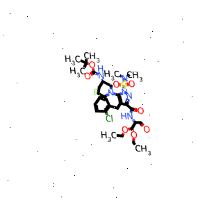 CCOC(OCC)C(C=O)NC(=O)c1nn(S(=O)(=O)N(C)C)c(N2CCC[C@@H](NC(=O)OC(C)(C)C)C2)c1Cc1cc(F)ccc1Cl